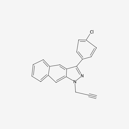 C#CCn1nc(-c2ccc(Cl)cc2)c2cc3ccccc3cc21